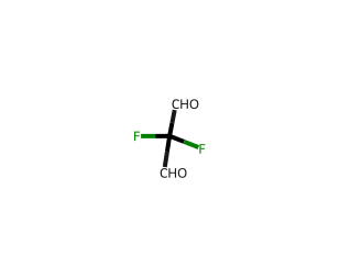 O=CC(F)(F)C=O